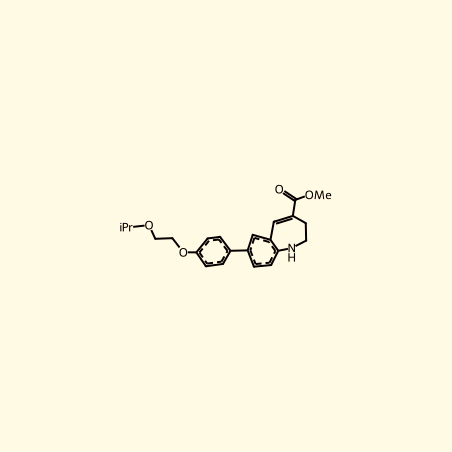 COC(=O)C1=Cc2cc(-c3ccc(OCCOC(C)C)cc3)ccc2NCC1